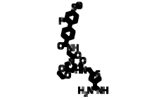 N=C(N)c1csc(CNC(=O)[C@@H]2CC3(CN2C(=O)CNC(=O)c2ccc(-c4ccc([S+]=O)cc4F)cc2)OCCO3)c1